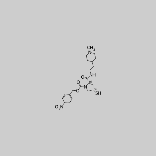 CN1CCC(CCNC(=O)[C@@H]2C[C@H](S)CN2C(=O)OCc2ccc([N+](=O)[O-])cc2)CC1